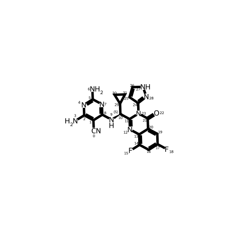 N#Cc1c(N)nc(N)nc1N[C@H](c1nc2c(F)cc(F)cc2c(=O)n1-c1cc[nH]n1)C1CC1